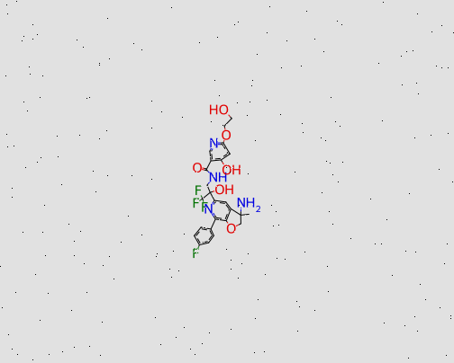 CC1(N)COc2c1cc(C(O)(CNC(=O)c1cnc(OCCO)cc1O)C(F)(F)F)nc2-c1ccc(F)cc1